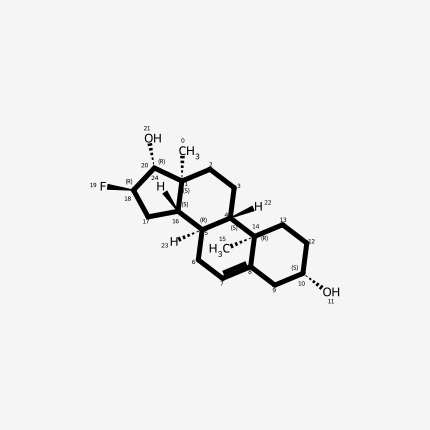 C[C@]12CC[C@H]3[C@@H](CC=C4C[C@@H](O)CC[C@@]43C)[C@@H]1C[C@@H](F)[C@@H]2O